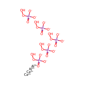 O=P([O-])([O-])OO.O=P([O-])([O-])OO.O=P([O-])([O-])OO.O=P([O-])([O-])OO.O=P([O-])([O-])OO.[Al+3].[Al+3].[Ca+2].[Ca+2]